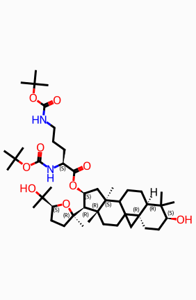 CC(C)(C)OC(=O)NCCC[C@H](NC(=O)OC(C)(C)C)C(=O)O[C@H]1C[C@@]2(C)C3CC[C@H]4C(C)(C)[C@@H](O)CC[C@@]45CC35CC[C@]2(C)[C@H]1[C@@]1(C)CC[C@@H](C(C)(C)O)O1